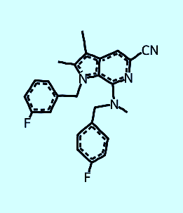 Cc1c(C)n(Cc2cccc(F)c2)c2c(N(C)Cc3ccc(F)cc3)nc(C#N)cc12